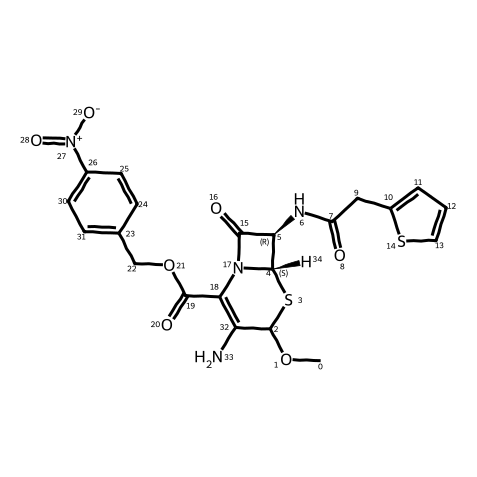 COC1S[C@H]2[C@H](NC(=O)Cc3cccs3)C(=O)N2C(C(=O)OCc2ccc([N+](=O)[O-])cc2)=C1N